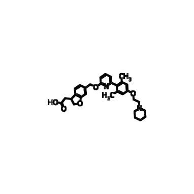 Cc1cc(OCCN2CCCCC2)cc(C)c1-c1cccc(OCc2ccc3c(c2)OCC3CC(=O)O)n1